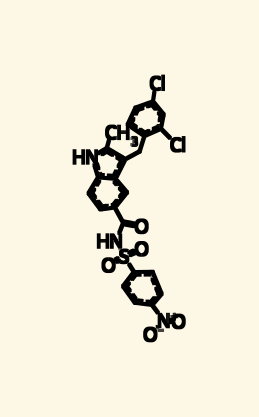 Cc1[nH]c2ccc(C(=O)NS(=O)(=O)c3ccc([N+](=O)[O-])cc3)cc2c1Cc1ccc(Cl)cc1Cl